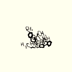 CCCCN(Cc1ccc(-c2ccccc2-c2nnn[nH]2)cc1)C(=O)N[C@@](C)(Cc1ccc(OCC)cc1)C(=O)OCC